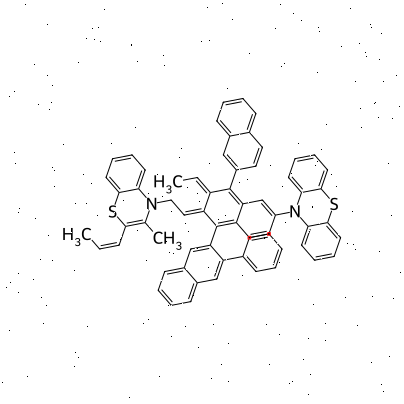 C/C=C\C1=C(C)N(C/C=c2/c(-c3cc4ccccc4cc3-c3ccccc3)c3ccc(N4c5ccccc5Sc5ccccc54)cc3c(-c3ccc4ccccc4c3)/c2=C/C)c2ccccc2S1